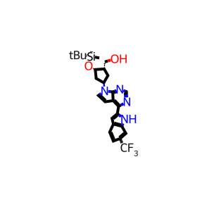 CC(C)(C)[Si](C)(C)O[C@H]1C[C@H](n2ccc3c(-c4cc5ccc(C(F)(F)F)cc5[nH]4)ncnc32)C[C@H]1CO